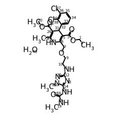 CCOC(=O)C1=C(COCCNc2nc(NC(=O)NC)n(C)n2)NC(C)=C(C(=O)OC)C1c1cccc(Cl)c1Cl.O